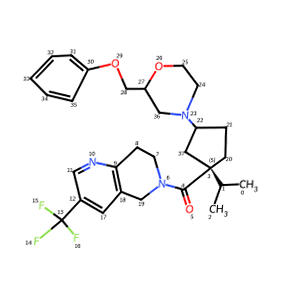 CC(C)[C@]1(C(=O)N2CCc3ncc(C(F)(F)F)cc3C2)CCC(N2CCOC(COc3ccccc3)C2)C1